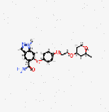 CC1CC(OCCOc2ccc(Oc3cc4c(cnn4C)cc3C(N)=O)cc2)CCO1